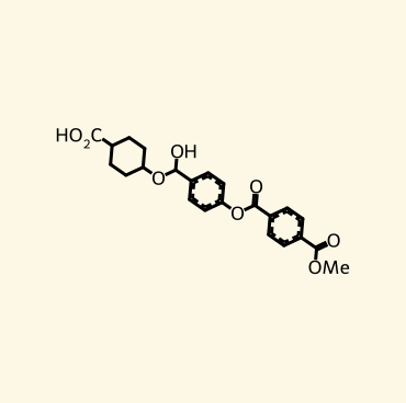 COC(=O)c1ccc(C(=O)Oc2ccc(C(O)OC3CCC(C(=O)O)CC3)cc2)cc1